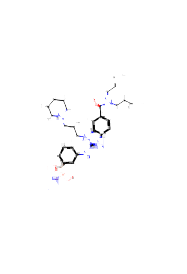 CC(C)CCN(CCC(C)C)C(=O)c1ccc2nc(Nc3cccc(S(N)(=O)=O)c3)n(CCCN3CCCCC3)c2c1